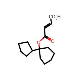 O=C(O)C=CC(=O)OC1(C2CCCC2)CCCCC1